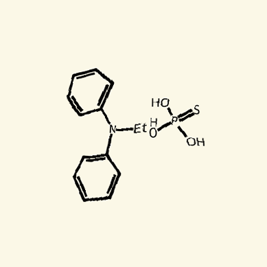 CCN(c1ccccc1)c1ccccc1.OP(O)(O)=S